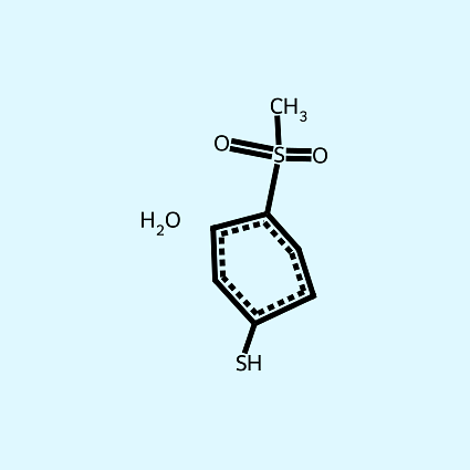 CS(=O)(=O)c1ccc(S)cc1.O